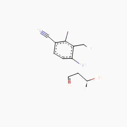 CCc1c(N[C@@H](C=O)[C@H](C)O)ccc(C#N)c1I